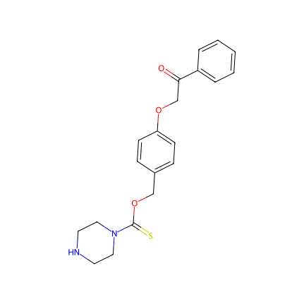 O=C(COc1ccc(COC(=S)N2CCNCC2)cc1)c1ccccc1